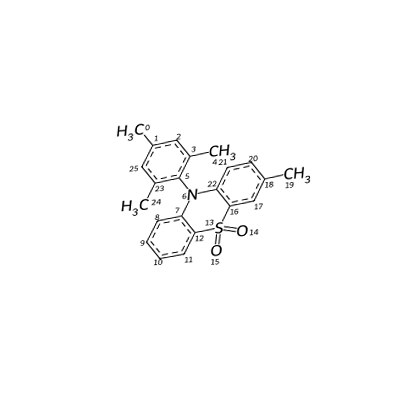 Cc1cc(C)c(N2c3ccccc3S(=O)(=O)c3cc(C)ccc32)c(C)c1